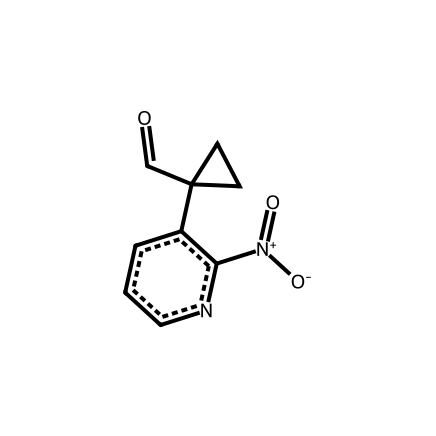 O=CC1(c2cccnc2[N+](=O)[O-])CC1